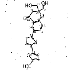 Cc1ccc(C2=CCC(c3ccc4c(c3)C(=O)CC(CO)(CO)O4)=N2)o1